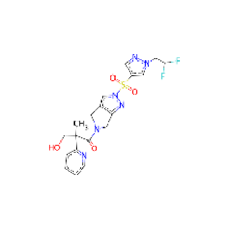 CC(CO)(C(=O)N1Cc2cn(S(=O)(=O)c3cnn(CC(F)F)c3)nc2C1)c1ccccn1